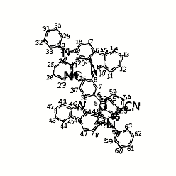 N#Cc1cccc(-c2cc(-n3c4ccccc4c4ccc5c(c6ccccc6n5-c5ccccc5)c43)c(C#N)cc2-n2c3ccccc3c3ccc4c(c5ccccc5n4-c4ccccc4)c32)c1